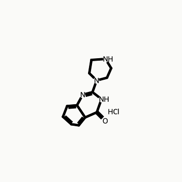 Cl.O=c1[nH]c(N2CCNCC2)nc2ccccc12